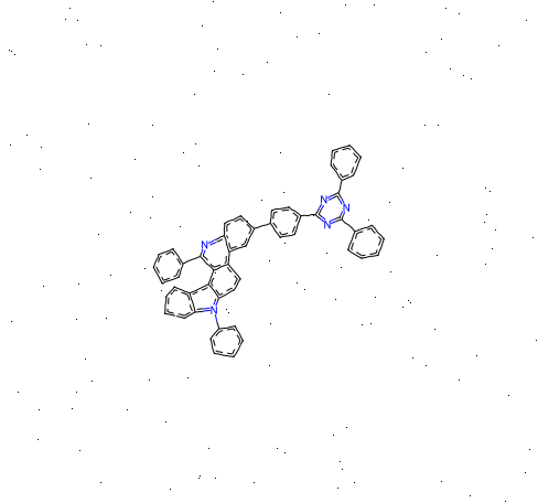 c1ccc(-c2nc(-c3ccccc3)nc(-c3ccc(-c4ccc5nc(-c6ccccc6)c6c(ccc7c6c6ccccc6n7-c6ccccc6)c5c4)cc3)n2)cc1